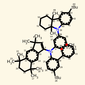 Cc1cc(N(C2=CC(C)(C)c3cc4c(cc32)C(C)(C)CCC4(C)C)c2ccc(C(C)(C)C)cc2-c2ccccc2)cc(N2c3ccc(C(C)(C)C)cc3C3(C)CCCCC23C)c1